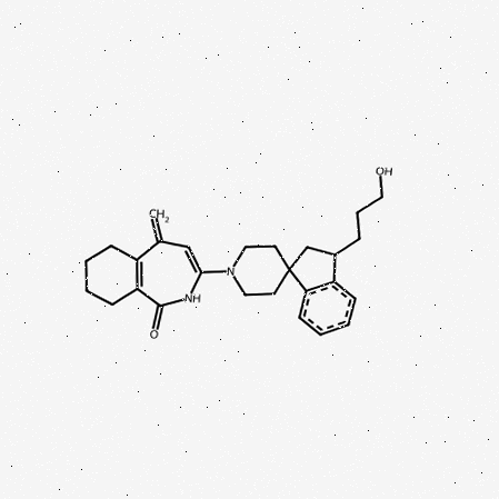 C=C1C=C(N2CCC3(CC2)CC(CCCO)c2ccccc23)NC(=O)C2=C1CCCC2